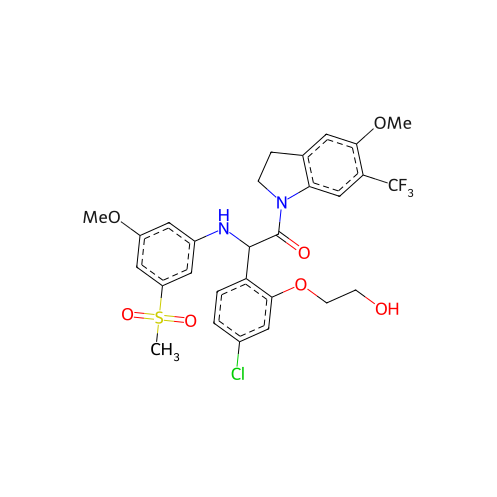 COc1cc(NC(C(=O)N2CCc3cc(OC)c(C(F)(F)F)cc32)c2ccc(Cl)cc2OCCO)cc(S(C)(=O)=O)c1